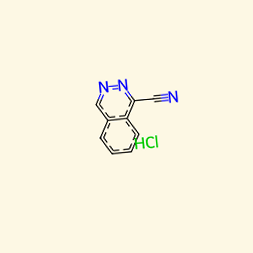 Cl.N#Cc1nncc2ccccc12